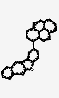 c1ccc2cc3c(cc2c1)sc1ccc(-c2ccc4ccc5cccc6ccc2c4c56)cc13